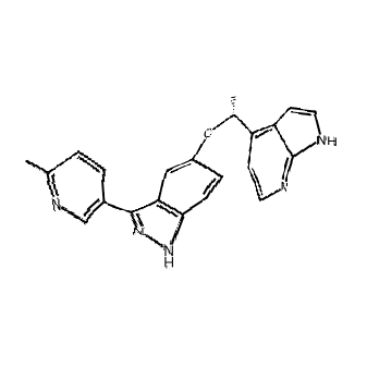 Cc1ccc(-c2n[nH]c3ccc(O[C@H](C)c4ccnc5[nH]ccc45)cc23)cn1